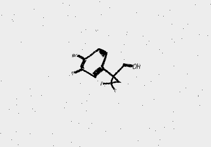 OCC1(c2ccc(Br)c(F)c2)CC1(F)F